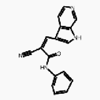 N#CC(=Cc1c[nH]c2cnccc12)C(=O)Nc1ccccc1